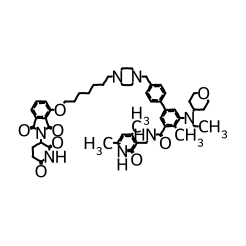 CCN(c1cc(-c2ccc(CN3CCN(CCCCCCCOc4cccc5c4C(=O)N(C4CCC(=O)NC4=O)C5=O)CC3)cc2)cc(C(=O)NCc2c(C)cc(C)[nH]c2=O)c1C)C1CCOCC1